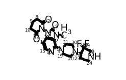 Cn1c(=O)n(N2C(=O)CCCC2=O)c2ccnc(N3CCN([C@H]4CCNCC4(F)F)CC3)c21